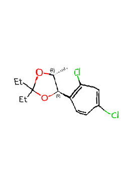 [CH2][C@H]1OC(CC)(CC)O[C@@H]1c1ccc(Cl)cc1Cl